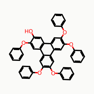 Oc1cc2c(cc1Oc1ccccc1)c1cc(Oc3ccccc3)c(Oc3ccccc3)cc1c1cc(Oc3ccccc3)c(Oc3ccccc3)cc21